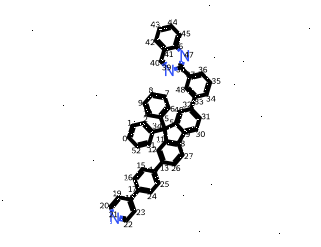 c1ccc(C2(c3ccccc3)c3cc(-c4ccc(-c5ccncc5)cc4)ccc3-c3ccc(-c4cccc(-c5ncc6ccccc6n5)c4)cc32)cc1